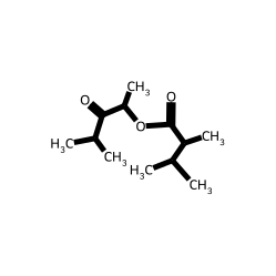 CC(C)C(=O)C(C)OC(=O)C(C)C(C)C